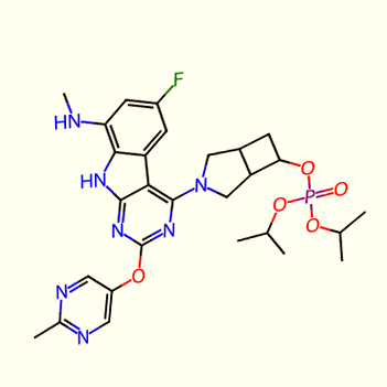 CNc1cc(F)cc2c1[nH]c1nc(Oc3cnc(C)nc3)nc(N3CC4CC(OP(=O)(OC(C)C)OC(C)C)C4C3)c12